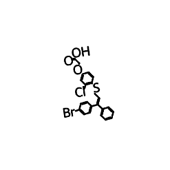 O=C(O)COc1ccc(SC/C=C(/c2ccccc2)c2ccc(Br)cc2)c(Cl)c1